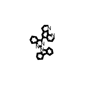 c1cnc2c(c1)cc(-c1nc(-n3c4ccccc4c4ccccc43)nc3ccccc13)c1cccnc12